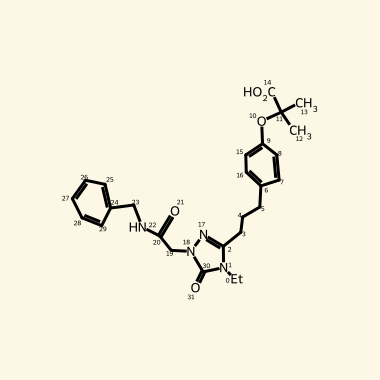 CCn1c(CCCc2ccc(OC(C)(C)C(=O)O)cc2)nn(CC(=O)NCc2ccccc2)c1=O